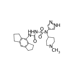 CN1CCC(N(c2cn[nH]c2)S(=O)(=O)NC(=O)Nc2c3c(cc4c2CCC4)CCC3)CC1